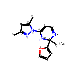 CC(=O)NC1(c2ccco2)N=CC=C(n2nc(C)cc2C)N1